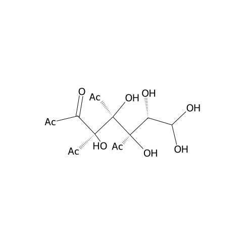 CC(=O)C(=O)[C@@](O)(C(C)=O)[C@](O)(C(C)=O)[C@@](O)(C(C)=O)[C@H](O)C(O)O